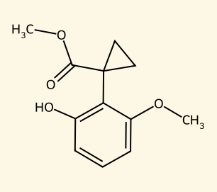 COC(=O)C1(c2c(O)cccc2OC)CC1